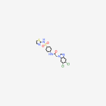 O=C(Cn1cnc2cc(Cl)c(Cl)cc21)Nc1ccc(S(=O)(=O)Nc2nccs2)cc1